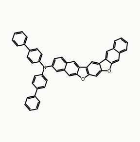 c1ccc(-c2ccc(N(c3ccc(-c4ccccc4)cc3)c3ccc4cc5c(cc4c3)oc3cc4oc6cc7ccccc7cc6c4cc35)cc2)cc1